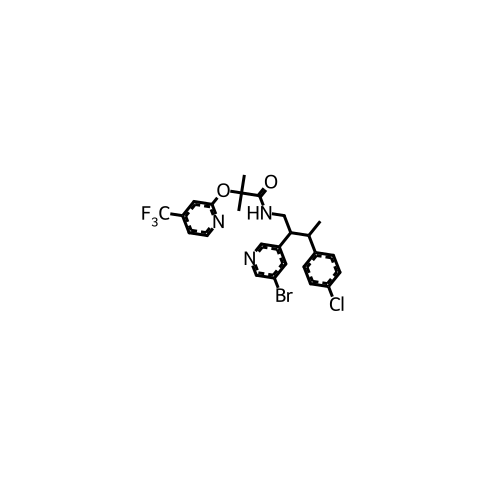 CC(c1ccc(Cl)cc1)C(CNC(=O)C(C)(C)Oc1cc(C(F)(F)F)ccn1)c1cncc(Br)c1